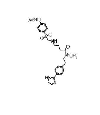 CC(=O)Nc1ccc(S(=O)(=O)CNCCCC(=O)N(C)CCc2ccc(C3=NCCN3)cc2)cc1